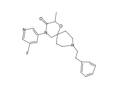 CC1OC2(CCN(CCc3ccccc3)CC2)CN(c2cncc(F)c2)C1=O